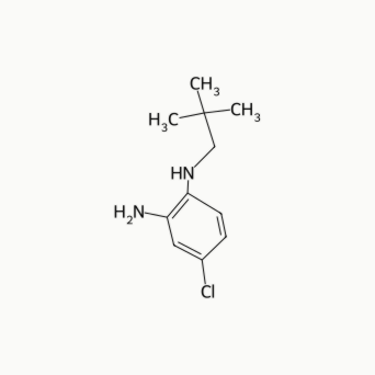 CC(C)(C)CNc1ccc(Cl)cc1N